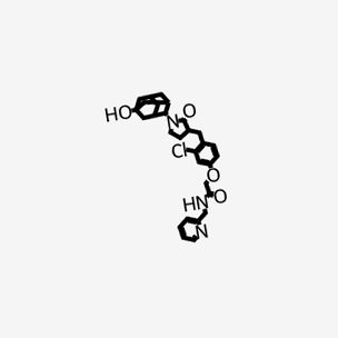 O=C(COc1ccc(CC2CCN(C3C4CC5CC3CC(O)(C5)C4)C2=O)c(Cl)c1)NCc1ccccn1